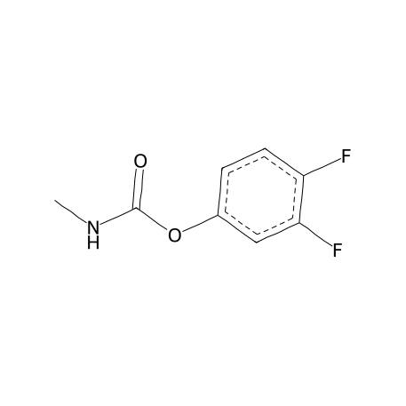 CNC(=O)Oc1ccc(F)c(F)c1